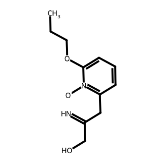 CCCOc1cccc(CC(=N)CO)[n+]1[O-]